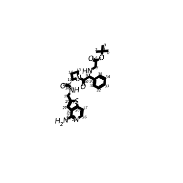 CC(C)(C)OC(=O)CN[C@@H](C(=O)N1CC[C@H]1C(=O)NCc1cc2c(N)nccc2s1)c1ccccc1